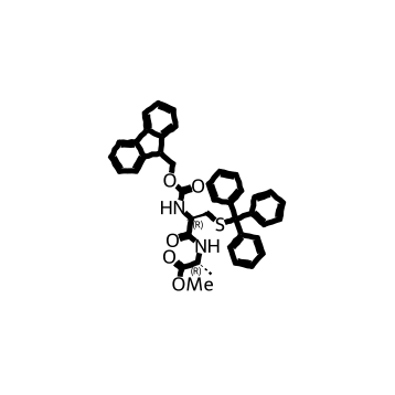 COC(=O)[C@@H](C)NC(=O)[C@H](CSC(c1ccccc1)(c1ccccc1)c1ccccc1)NC(=O)OCC1c2ccccc2-c2ccccc21